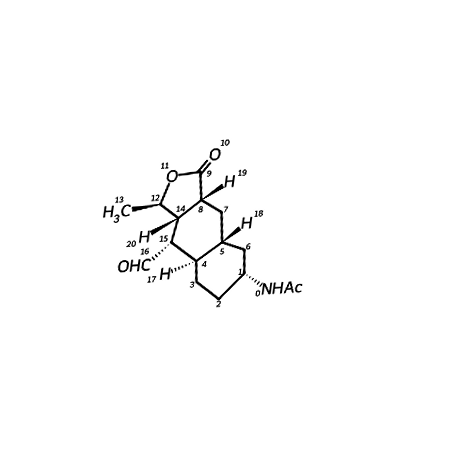 CC(=O)N[C@@H]1CC[C@@H]2[C@@H](C1)C[C@H]1C(=O)O[C@H](C)[C@H]1[C@H]2C=O